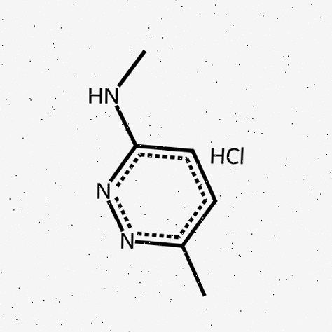 CNc1ccc(C)nn1.Cl